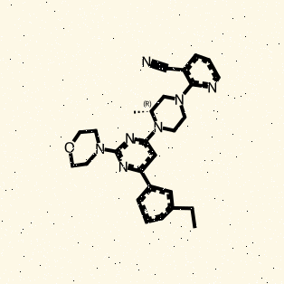 CCc1cccc(-c2cc(N3CCN(c4ncccc4C#N)C[C@H]3C)nc(N3CCOCC3)n2)c1